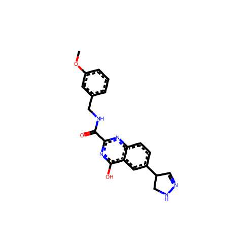 COc1cccc(CNC(=O)c2nc(O)c3cc(C4C=NNC4)ccc3n2)c1